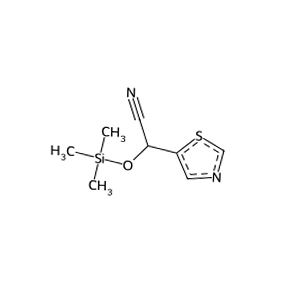 C[Si](C)(C)OC(C#N)c1cncs1